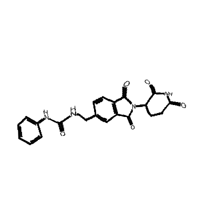 O=C1CCC(N2C(=O)c3ccc(CNC(=O)Nc4ccccc4)cc3C2=O)C(=O)N1